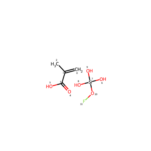 C=C(C)C(=O)O.O[Si](O)(O)OF